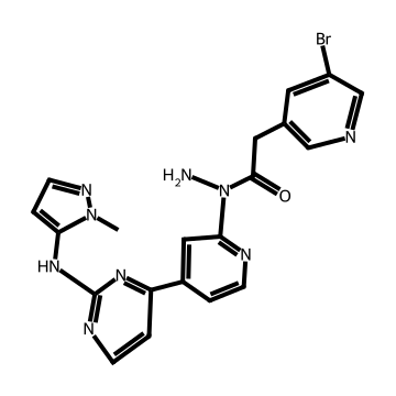 Cn1nccc1Nc1nccc(-c2ccnc(N(N)C(=O)Cc3cncc(Br)c3)c2)n1